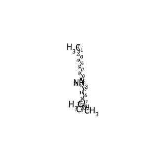 CCCCCCCCCCCCCCCCCCC(C)(Cl)CC.N